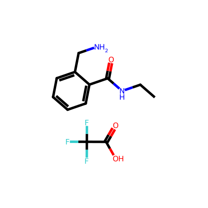 CCNC(=O)c1ccccc1CN.O=C(O)C(F)(F)F